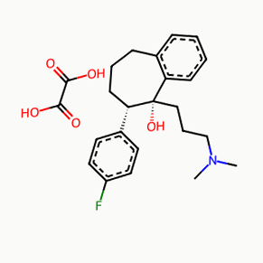 CN(C)CCC[C@]1(O)c2ccccc2CCC[C@H]1c1ccc(F)cc1.O=C(O)C(=O)O